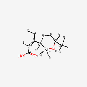 CCC(=C(C)C(=O)O)[Si]1(C)CCC(C)(C(C)(C)C)O[Si]1(C)C